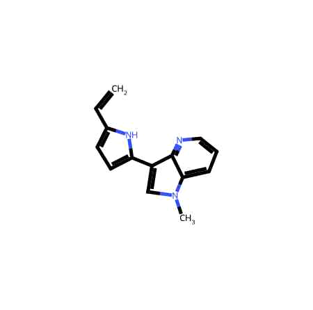 C=Cc1ccc(-c2cn(C)c3cccnc23)[nH]1